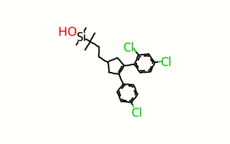 CC(C)(CCC1CC(c2ccc(Cl)cc2)=C(c2ccc(Cl)cc2Cl)C1)[Si](C)(C)O